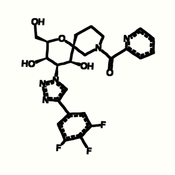 O=C(c1ccccn1)N1CCC[C@]2(C1)O[C@H](CO)[C@H](O)[C@H](n1cc(-c3cc(F)c(F)c(F)c3)nn1)[C@@H]2O